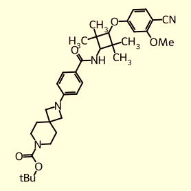 COc1cc(OC2C(C)(C)C(NC(=O)c3ccc(N4CC5(CCN(C(=O)OC(C)(C)C)CC5)C4)cc3)C2(C)C)ccc1C#N